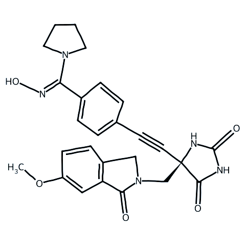 COc1ccc2c(c1)C(=O)N(C[C@@]1(C#Cc3ccc(C(=NO)N4CCCC4)cc3)NC(=O)NC1=O)C2